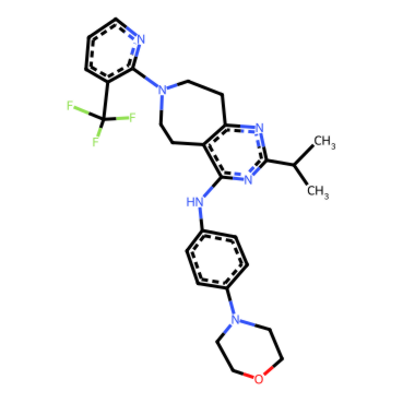 CC(C)c1nc2c(c(Nc3ccc(N4CCOCC4)cc3)n1)CCN(c1ncccc1C(F)(F)F)CC2